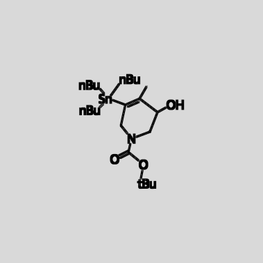 CCC[CH2][Sn]([CH2]CCC)([CH2]CCC)[C]1=C(C)C(O)CN(C(=O)OC(C)(C)C)C1